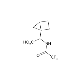 O=C(O)C(NC(=O)C(F)(F)F)C12CCC1C2